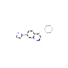 Nc1cc(N[C@H]2CCCC[C@@H]2O)c2ccc(-c3ccn[nH]3)cc2n1